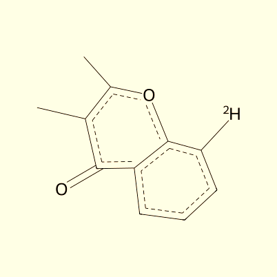 [2H]c1cccc2c(=O)c(C)c(C)oc12